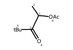 CC(=O)OC(C)C(=O)C(C)(C)C